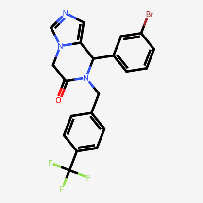 O=C1Cn2cncc2C(c2cccc(Br)c2)N1Cc1ccc(C(F)(F)F)cc1